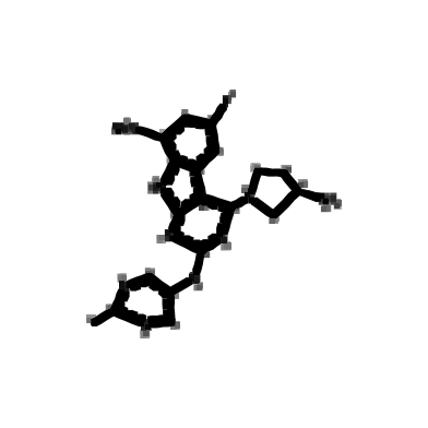 CNc1cc(F)cc2c1[nH]c1nc(Oc3cnc(C)nc3)nc(N3CC[C@@H](N)C3)c12